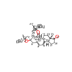 CC(C)(C)[Si](C)(C)O[C@@H]1CC2=CC=C3[C@H](CC[C@]4(C)C(=O)CC[C@@H]34)[C@@]2(C)[C@@H](O[Si](C)(C)C(C)(C)C)C1